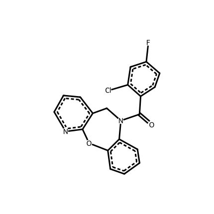 O=C(c1ccc(F)cc1Cl)N1Cc2cccnc2Oc2ccccc21